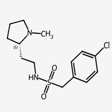 CN1CCC[C@H]1CCNS(=O)(=O)Cc1ccc(Cl)cc1